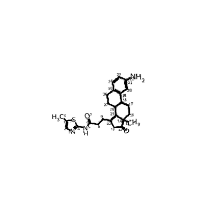 Cc1cnc(NC(=O)CCC2CC(=O)C3(C)CCC4c5cc(N)ccc5CCC4C23)s1